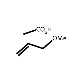 C=CCOC.CC(=O)O